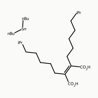 CC(C)CCCCC/C(C(=O)O)=C(\CCCCCC(C)C)C(=O)O.CCC[CH2][Sn][CH2]CCC